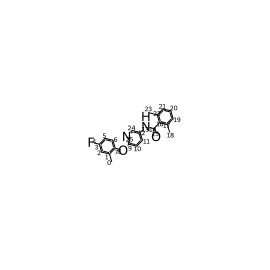 Cc1cc(F)ccc1Oc1ccc(NC(=O)c2c(C)cccc2C)cn1